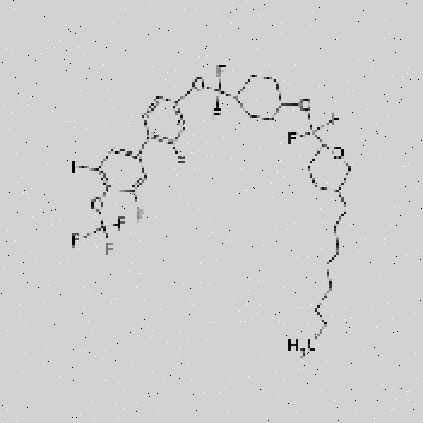 CCCCCCCCC1CCC(C(F)(F)OC2CCC(C(F)(F)Oc3ccc(-c4cc(F)c(OC(F)(F)F)c(F)c4)c(F)c3)CC2)OC1